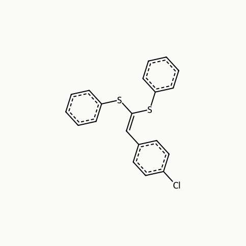 Clc1ccc(C=C(Sc2ccccc2)Sc2ccccc2)cc1